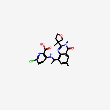 Cc1cc(C(C)Nc2ccc(Cl)nc2C(=O)O)c2nc(C3(C)CCOC3)n(C)c(=O)c2c1